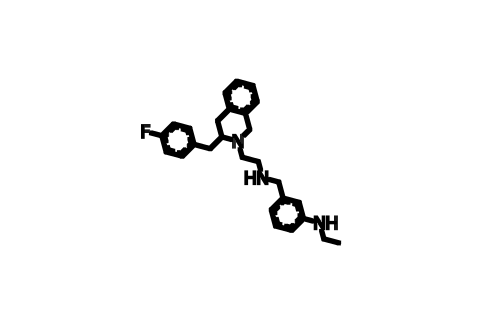 CCNc1cccc(CNCCN2Cc3ccccc3CC2Cc2ccc(F)cc2)c1